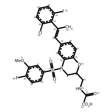 COc1cc(S(=O)(=O)N2CC(CNC(=O)C(=O)O)Oc3ccc(C=C(C)c4c(F)cccc4Cl)cc32)ccc1F